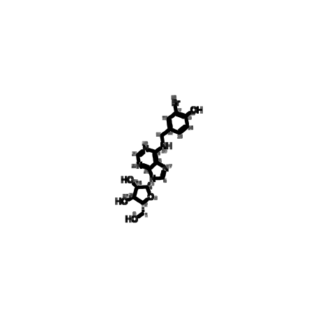 OC[C@H]1O[C@@H](n2cnc3c(NCc4ccc(O)c(Br)c4)ncnc32)[C@H](O)[C@@H]1O